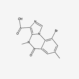 Cc1cc(Br)c2c(c1)c(=O)n(C)c1c(C(=O)O)ncn21